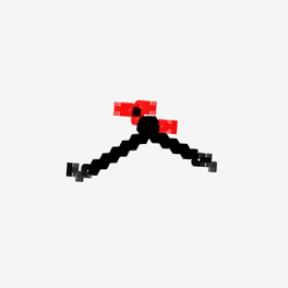 CCCCCCCCCCCCc1cccc(O)c1CCCCCCCCC.O=C(O)O